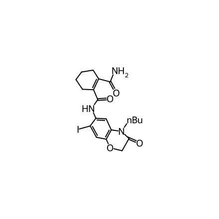 CCCCN1C(=O)COc2cc(I)c(NC(=O)C3=C(C(N)=O)CCCC3)cc21